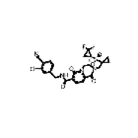 N#Cc1ccc(CNC(=O)c2ccc3n(c2=O)CCN(CC2(S(=O)(=O)[C@H]4CC4(F)F)CC2)C3=O)cc1Cl